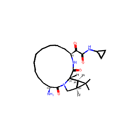 CC1(C)[C@@H]2[C@H]3C(=O)N[C@H](C(=O)C(=O)NC4CC4)CCCCCCCCC[C@H](N)C(=O)N3C[C@@H]21